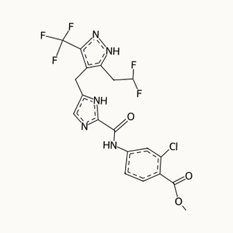 COC(=O)c1ccc(NC(=O)c2ncc(Cc3c(C(F)(F)F)n[nH]c3CC(F)F)[nH]2)cc1Cl